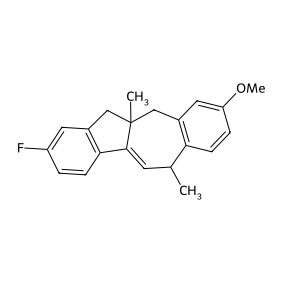 COc1ccc2c(c1)CC1(C)Cc3cc(F)ccc3C1=CC2C